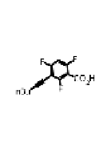 CCCCC#Cc1c(F)cc(F)c(C(=O)O)c1F